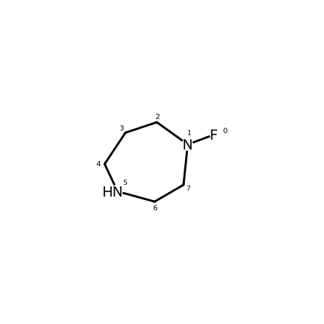 FN1CCCNCC1